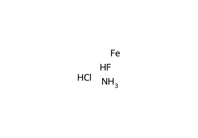 Cl.F.N.[Fe]